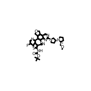 COC[C@@H]1CCCN1[C@@H]1CCN(c2ncc3c4c(c(-c5ncc(F)c6sc(NC(=O)OC(C)(C)C)c(C#N)c56)c(F)c3n2)COC4)C1